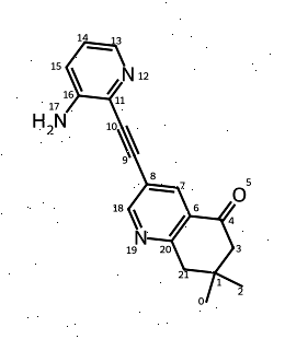 CC1(C)CC(=O)c2cc(C#Cc3ncccc3N)cnc2C1